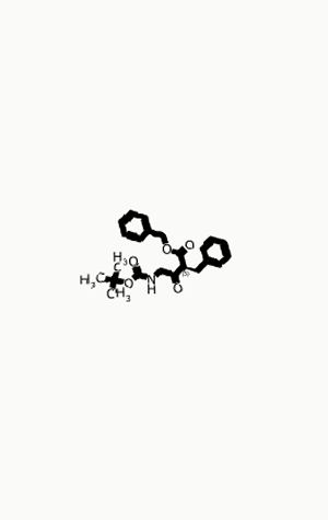 CC(C)(C)OC(=O)NCC(=O)[C@H](Cc1ccccc1)C(=O)OCc1ccccc1